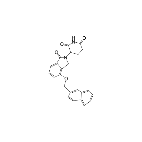 O=C1CCC(N2Cc3c(OCc4ccc5ccccc5c4)cccc3C2=O)C(=O)N1